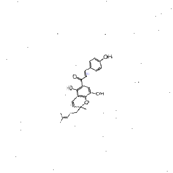 CC(C)=CCCC1(C)C=Cc2c(O)c(C(=O)/C=C/c3ccc(O)cc3)cc(O)c2O1